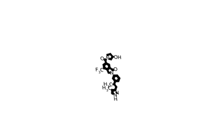 Cc1c[nH]nc1C[C@@H](C)c1cccc(N2Cc3c(cc(C(=O)N4CC[C@@H](O)C4)cc3C(F)(F)F)C2=O)c1